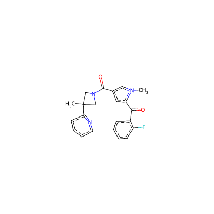 Cn1cc(C(=O)N2CC(C)(c3ccccn3)C2)cc1C(=O)c1ccccc1F